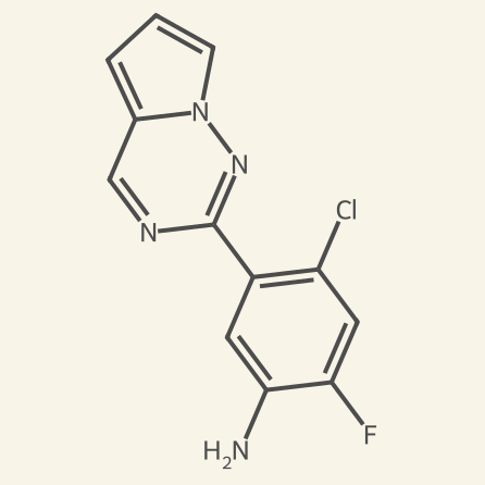 Nc1cc(-c2ncc3cccn3n2)c(Cl)cc1F